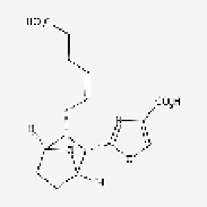 O=C(O)CC/C=C\C[C@@H]1[C@H](c2nc(C(=O)O)co2)[C@H]2CC[C@@H]1O2